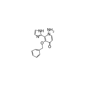 Nn1ccc(=O)c(OCc2ccccc2)c1-c1ncc[nH]1